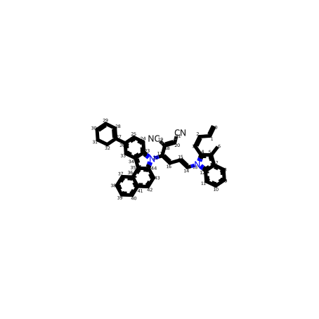 C=C/C=C\c1c(C)c2ccccc2n1/C=C/C=C(\C(C#N)=C\C#N)n1c2ccc(C3=CC=CCC3)cc2c2c3ccccc3ccc21